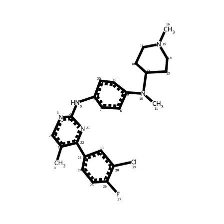 Cc1cnc(Nc2ccc(N(C)C3CCN(C)CC3)cc2)nc1-c1ccc(F)c(Cl)c1